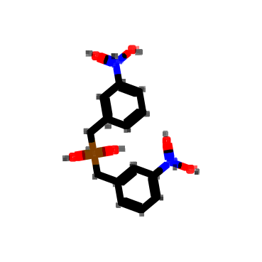 O=[N+]([O-])c1cccc(CS(=O)(=O)Cc2cccc([N+](=O)[O-])c2)c1